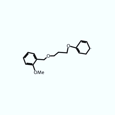 COc1ccccc1COCCCOC1=CC[CH]C=C1